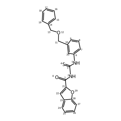 O=C(NC(=S)Nc1cccc(COCc2ccccc2)c1)c1cc2ccccc2o1